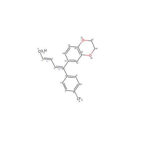 O=C(O)/C=C/C=C(/c1ccc(C(F)(F)F)cc1)c1ccc2c(c1)OCCO2